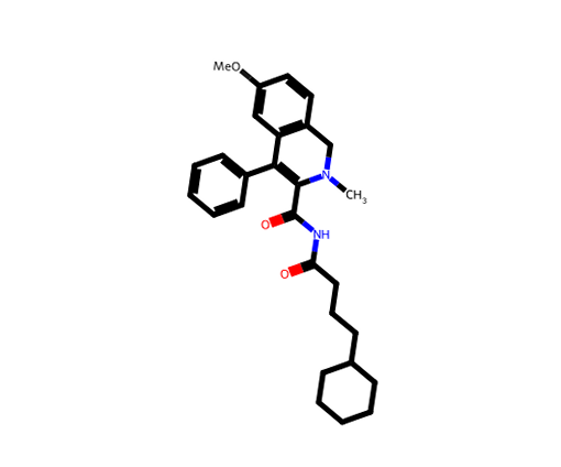 COc1ccc2c(c1)C(c1ccccc1)=C(C(=O)NC(=O)CCCC1CCCCC1)N(C)C2